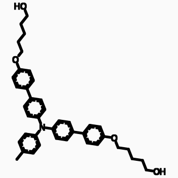 Cc1ccc(N(c2ccc(-c3ccc(OCCCCCO)cc3)cc2)c2ccc(-c3ccc(OCCCCCO)cc3)cc2)cc1